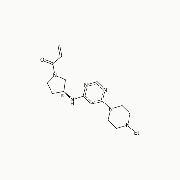 C=CC(=O)N1CC[C@H](Nc2cc(N3CCN(CC)CC3)ncn2)C1